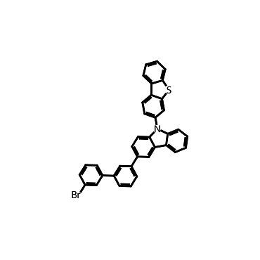 Brc1cccc(-c2cccc(-c3ccc4c(c3)c3ccccc3n4-c3ccc4c(c3)sc3ccccc34)c2)c1